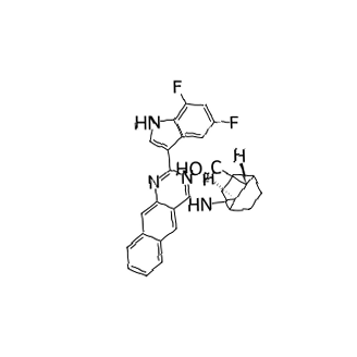 O=C(O)[C@@H]1C2CCC(CC2)[C@H]1Nc1nc(-c2c[nH]c3c(F)cc(F)cc23)nc2cc3ccccc3cc12